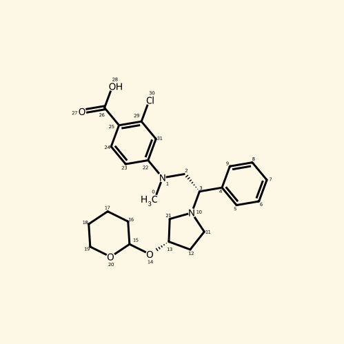 CN(C[C@H](c1ccccc1)N1CC[C@H](OC2CCCCO2)C1)c1ccc(C(=O)O)c(Cl)c1